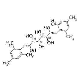 Cc1cc(C)c(C=C(O)[C@@H](O)[C@@H](O)[C@H](O)[C@@H](O)C(O)=Cc2c(C)cc(C)cc2C)c(C)c1